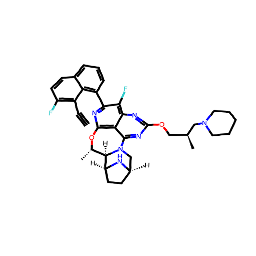 C#Cc1c(F)ccc2cccc(-c3nc4c5c(nc(OC[C@H](C)CN6CCCCC6)nc5c3F)N3C[C@H]5CC[C@H](N5)[C@H]3[C@H](C)O4)c12